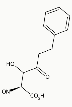 O=N[C@H](C(=O)O)C(O)C(=O)CCc1ccccc1